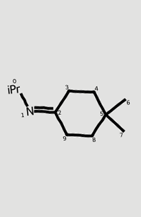 CC(C)N=C1CCC(C)(C)CC1